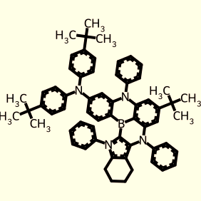 CC(C)(C)c1ccc(N(c2ccc(C(C)(C)C)cc2)c2ccc3c(c2)N(c2ccccc2)c2cc(C(C)(C)C)cc4c2B3c2c(c3c(n2-c2ccccc2)CCCC3)N4c2ccccc2)cc1